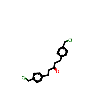 O=C(CCc1ccc(CCl)cc1)CCc1ccc(CCl)cc1